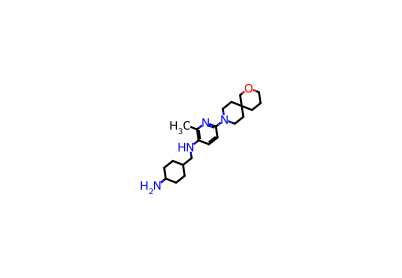 Cc1nc(N2CCC3(CCCOC3)CC2)ccc1NCC1CCC(N)CC1